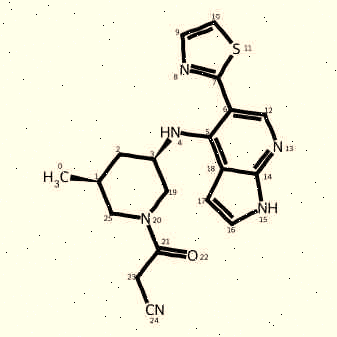 C[C@H]1C[C@@H](Nc2c(-c3nccs3)cnc3[nH]ccc23)CN(C(=O)CC#N)C1